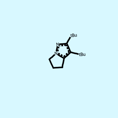 CC(C)(C)c1nn2c(c1C(C)(C)C)CCC2